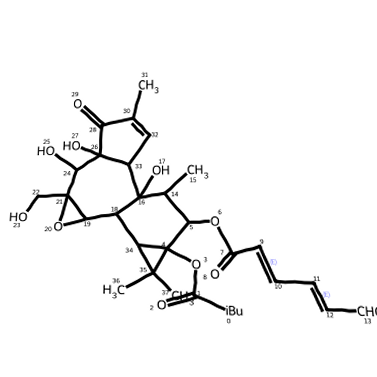 CCC(C)C(=O)OC12C(OC(=O)/C=C/C=C/C=O)C(C)C3(O)C(C4OC4(CO)C(O)C4(O)C(=O)C(C)=CC43)C1C2(C)C